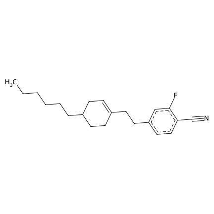 CCCCCCC1CC=C(CCc2ccc(C#N)c(F)c2)CC1